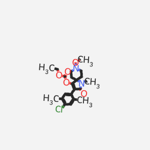 CCOC(=O)OC1=C(c2cc(C)c(Cl)cc2C)C(=O)N(C)C12CCN(OC)CC2